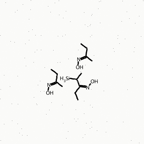 CCC(=NO)C(C)[SiH3].CCC(C)=NO.CCC(C)=NO